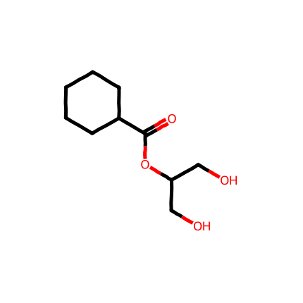 O=C(OC(CO)CO)C1CCCCC1